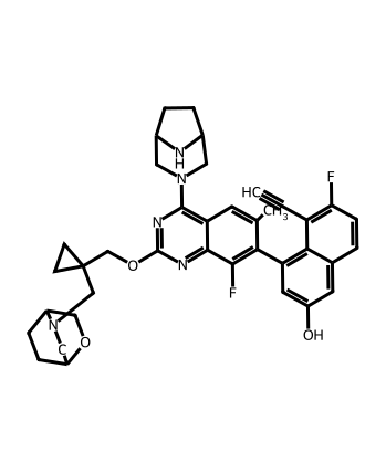 C#Cc1c(F)ccc2cc(O)cc(-c3c(C)cc4c(N5CC6CCC(C5)N6)nc(OCC5(CN6CC7CCC6CO7)CC5)nc4c3F)c12